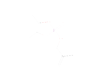 C=C(C)COP(=O)(OCC)OCC